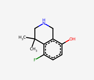 CC1(C)CNCc2c(O)ccc(F)c21